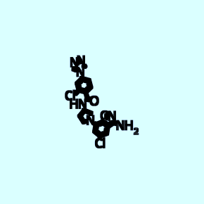 Nc1noc2c(N3CCC(NC(=O)c4ccc(-n5cnnc5)cc4Cl)C3)cc(Cl)cc12